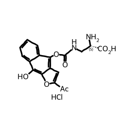 CC(=O)c1cc2c(OC(=O)NC[C@H](N)C(=O)O)c3ccccc3c(O)c2o1.Cl